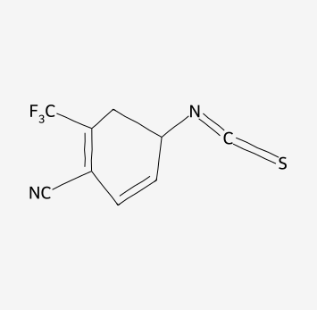 N#CC1=C(C(F)(F)F)CC(N=C=S)C=C1